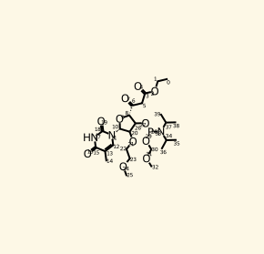 CCOC(=O)CC(=O)[C@H]1O[C@@H](n2cc(C)c(=O)[nH]c2=O)C(OCCOC)C1OP(OCOC)N(C(C)C)C(C)C